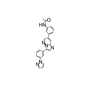 CC(=O)Nc1cccc(-c2cnn3c(-c4cccc(-n5cccn5)c4)cnc3c2)c1